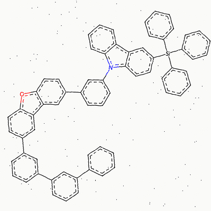 c1ccc(-c2cccc(-c3cccc(-c4ccc5oc6ccc(-c7cccc(-n8c9ccccc9c9cc([Si](c%10ccccc%10)(c%10ccccc%10)c%10ccccc%10)ccc98)c7)cc6c5c4)c3)c2)cc1